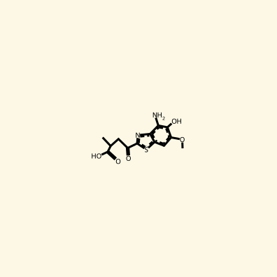 COc1cc2sc(C(=O)CC(C)C(=O)O)nc2c(N)c1O